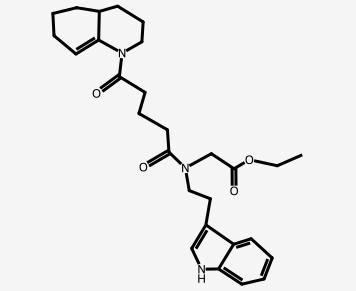 CCOC(=O)CN(CCc1c[nH]c2ccccc12)C(=O)CCCC(=O)N1CCCC2CCCC=C21